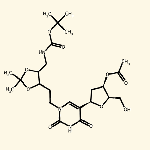 CC(=O)O[C@@H]1C[C@H](c2cn(CCC3OC(C)(C)OC3CNC(=O)OC(C)(C)C)c(=O)[nH]c2=O)O[C@@H]1CO